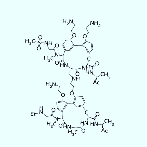 CCNCC(=O)N(C)[C@@H]1C(=O)N[C@@H](C)C(=O)N[C@H](C(=O)N[C@@H](C)C(C)=O)Cc2ccc(OCCNC[C@@H]3NC(=O)[C@@H](N(C)C(=O)CNS(C)(=O)=O)c4ccc(OCCN)c(c4)-c4cc(ccc4OCCN)C[C@@H](C(=O)N[C@@H](C)C(C)=O)NC3=O)c(c2)-c2cc1ccc2OCCN